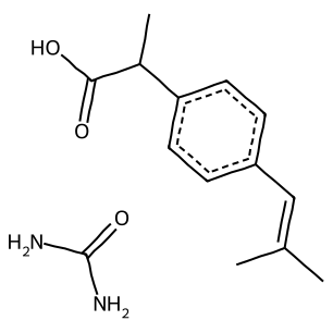 CC(C)=Cc1ccc(C(C)C(=O)O)cc1.NC(N)=O